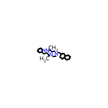 C=C1NC(Cc2ccccc2)C(=C)N2CCN(Cc3ccc4ccccc4c3)CC12